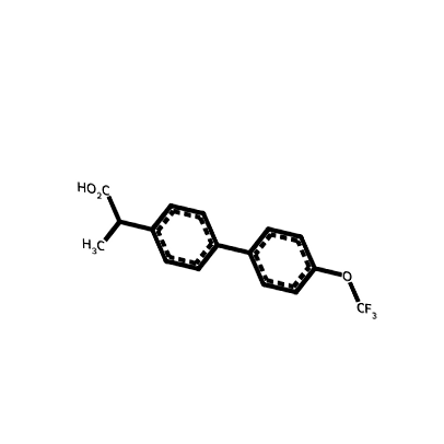 CC(C(=O)O)c1ccc(-c2ccc(OC(F)(F)F)cc2)cc1